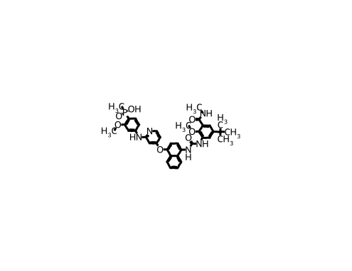 CNC(=O)c1cc(C(C)(C)C)cc(NC(=O)Nc2ccc(Oc3ccnc(Nc4ccc(P(C)(=O)O)c(OC)c4)c3)c3ccccc23)c1OC